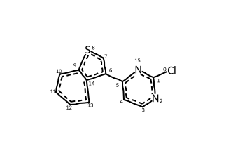 Clc1nccc(-c2csc3ccccc23)n1